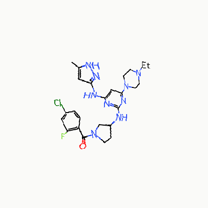 CCN1CCN(c2cc(Nc3cc(C)[nH]n3)nc(N[C@H]3CCN(C(=O)c4ccc(Cl)cc4F)C3)n2)CC1